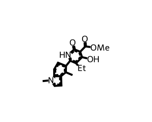 CCc1c(-c2ccc3c(ccn3C)c2C)[nH]c(=O)c(C(=O)OC)c1O